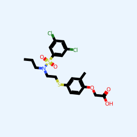 CCCN(CCSc1ccc(OCC(=O)O)c(C)c1)S(=O)(=O)c1cc(Cl)cc(Cl)c1